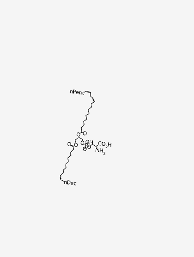 CCCCC/C=C\C/C=C\CCCCCCCCCC(=O)O[C@H](COC(=O)CCCCCCCCC/C=C\CCCCCCCCCC)COP(=O)(O)OC[C@H](N)C(=O)O